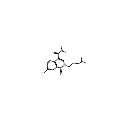 CN(C)CCCn1cc(C(=O)N(C)C)c2ccc(Cl)cc2c1=O